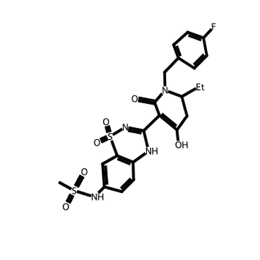 CCC1CC(O)=C(C2=NS(=O)(=O)c3cc(NS(C)(=O)=O)ccc3N2)C(=O)N1Cc1ccc(F)cc1